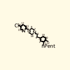 CCCCCc1cc(CCN2CCN(c3ccc(Cl)cn3)CC2)ccc1C